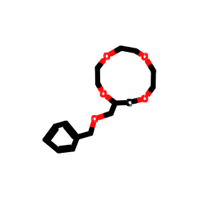 c1ccc(COCC2COCCOCCOCCO2)cc1